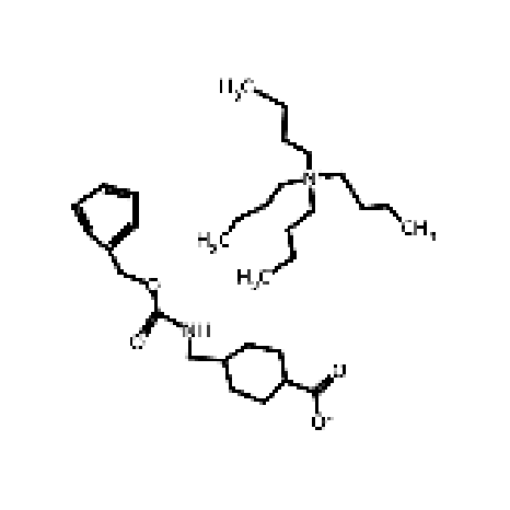 CCCC[N+](CCCC)(CCCC)CCCC.O=C(NCC1CCC(C(=O)[O-])CC1)OCc1ccccc1